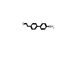 Nc1ccc(-c2ccc(CC=S)cc2)cc1